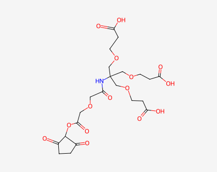 O=C(O)CCOCC(COCCC(=O)O)(COCCC(=O)O)NC(=O)COCC(=O)OC1C(=O)CCC1=O